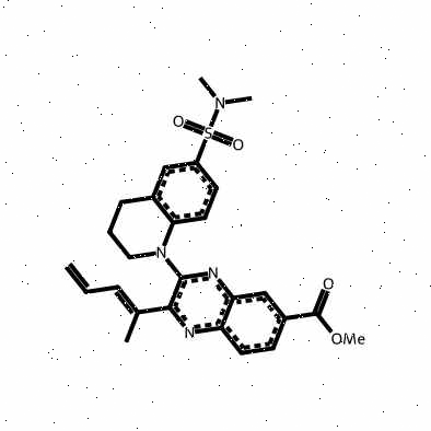 C=C/C=C(\C)c1nc2ccc(C(=O)OC)cc2nc1N1CCCc2cc(S(=O)(=O)N(C)C)ccc21